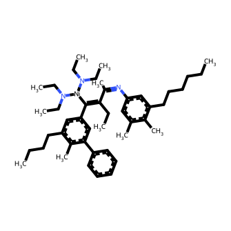 CCCCCCc1cc(N=C(C)C(CC)=[C](c2cc(CCCC)c(C)c(-c3ccccc3)c2)[Ni]([N](CC)CC)[N](CC)CC)cc(C)c1C